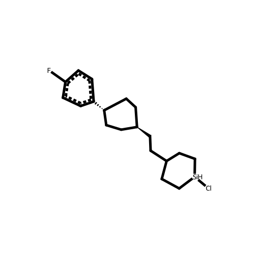 Fc1ccc([C@H]2CC[C@H](CCC3CC[SiH](Cl)CC3)CC2)cc1